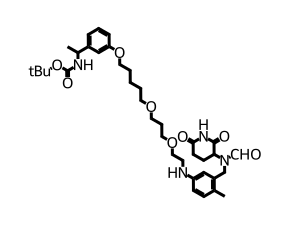 Cc1ccc(NCCOCCCOCCCCCOc2cccc(C(C)NC(=O)OC(C)(C)C)c2)cc1CN(C=O)C1CCC(=O)NC1=O